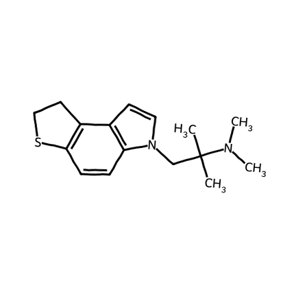 CN(C)C(C)(C)Cn1ccc2c3c(ccc21)SCC3